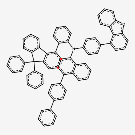 c1ccc(-c2ccc(-c3ccc(N(c4ccc(-c5cccc6oc7ccccc7c56)cc4)c4ccccc4-c4cccc5c4-c4ccccc4C5(c4ccccc4)c4ccccc4)c4ccccc34)cc2)cc1